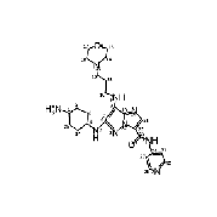 NC1CCC(Nc2cc(NCCCN3CCOCC3)c3ncc(C(=O)Nc4ccncc4)n3n2)CC1